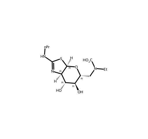 CCCNC1=N[C@@H]2[C@@H](O)[C@H](O)[C@@H](CN(CC)C(=O)O)O[C@@H]2S1